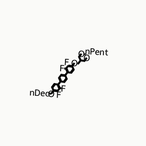 CCCCCCCCCCOc1ccc(-c2ccc(-c3ccc(OCC4COC(CCCCC)OC4)c(F)c3F)cc2)c(F)c1F